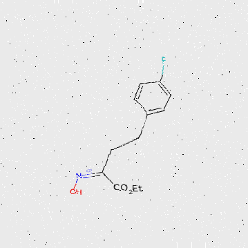 CCOC(=O)/C(CCc1ccc(F)cc1)=N\O